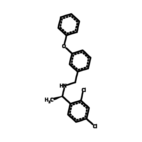 C[C@@H](NCc1cccc(Oc2ccccc2)c1)c1ccc(Cl)cc1Cl